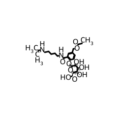 CCC(=O)OCc1ccc(O[C@H]2O[C@H](C(=O)O)[C@@H](O)[C@H](O)[C@H]2O)c(C(=O)NCCCCCNC(C)C)c1